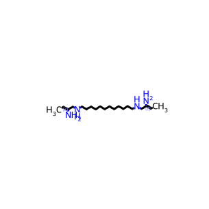 C/C=C(\N)CNCCCCCCCCCCCCNC/C(N)=C/C